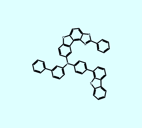 c1ccc(-c2cccc(N(c3ccc(-c4cccc5c4sc4ccccc45)cc3)c3ccc4oc5ccc6sc(-c7ccccc7)nc6c5c4c3)c2)cc1